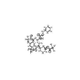 CC(C)N(C(=O)c1cc2c(cc1C(F)(F)F)SC(C)(C)C(=O)N2CCNC(=O)OCc1ccccc1)C1CCCN(OC(=O)C(C)(C)C)C1